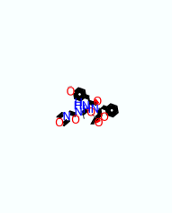 COc1ccc(C[C@H](NC(=O)[C@H](C)NC(=O)CN2CCOCC2)C(=O)N[C@@H](Cc2ccccc2)C(=O)[C@]2(C)CO2)cc1